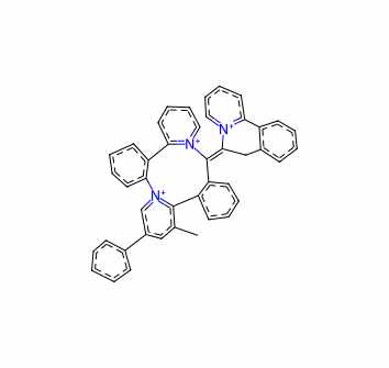 Cc1cc(-c2ccccc2)c[n+]2c1-c1ccccc1/C(=C1\Cc3ccccc3-c3cccc[n+]31)[n+]1ccccc1-c1ccccc1-2